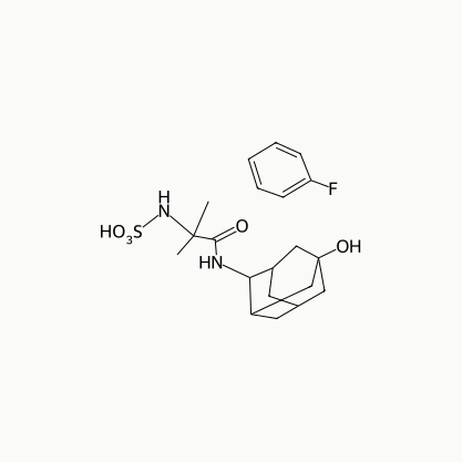 CC(C)(NS(=O)(=O)O)C(=O)NC1C2CC3CC1CC(O)(C3)C2.Fc1ccccc1